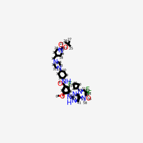 COc1cc(C(=O)NC2CCC(N3CCN(CC4CCN(C(=O)OC(C)(C)C)CC4)CC3)CC2)c(F)cc1Nc1ncc2c(n1)N(C1CCCC1)CC(F)(F)C(=O)N2C